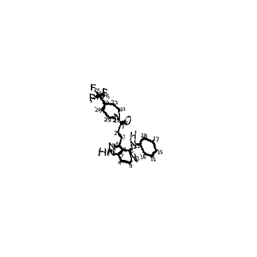 O=C(CCc1n[nH]c2ccnc(NC3CCCCC3)c12)N1CCC(C(F)(F)F)CC1